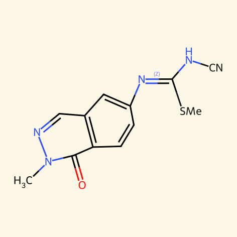 CS/C(=N\c1ccc2c(=O)n(C)ncc2c1)NC#N